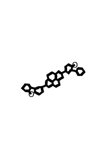 c1ccc2c(c1)oc1ccc(-c3cc4ccc5cc(-c6ccc7oc8ccccc8c7c6)cc6ccc(c3)c4c56)cc12